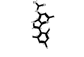 CCC(CC)Oc1cc(C)nc2c(-c3c(C)cc(C)cc3C)csc12